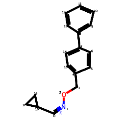 [C](=N/OCc1ccc(-c2ccccc2)cc1)/C1CC1